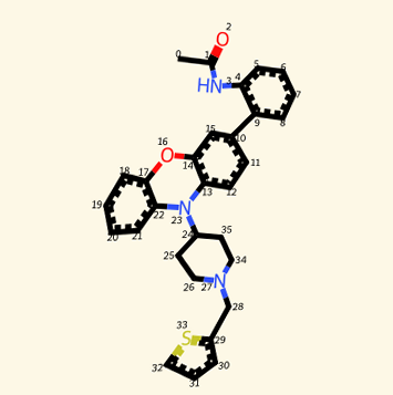 CC(=O)Nc1ccccc1-c1ccc2c(c1)Oc1ccccc1N2C1CCN(Cc2cccs2)CC1